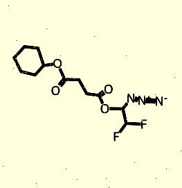 [N-]=[N+]=NC(OC(=O)CCC(=O)OC1CCCCC1)C(F)F